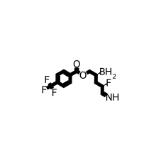 B[C@@H](COC(=O)c1ccc(C(F)(F)F)cc1)C[C@H](F)C=N